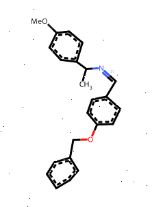 COc1ccc(C(C)/N=C\c2ccc(OCc3ccccc3)cc2)cc1